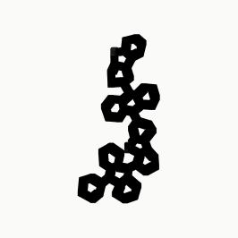 c1ccc(-c2c3ccccc3c(-c3cccc4c3sc3cc(-c5c6ccccc6c(-c6ccc7sc8ccccc8c7c6)c6ccccc56)ccc34)c3ccccc23)cc1